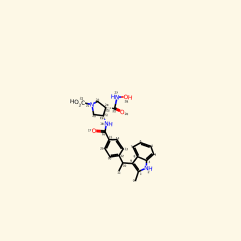 Cc1[nH]c2ccccc2c1C(C)c1ccc(C(=O)N[C@@H]2CN(C(=O)O)C[C@@H]2C(=O)NO)cc1